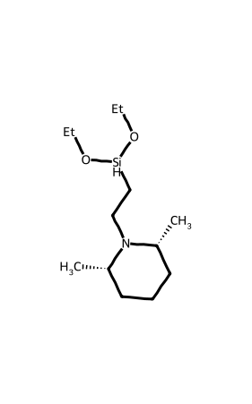 CCO[SiH](CCN1[C@H](C)CCC[C@@H]1C)OCC